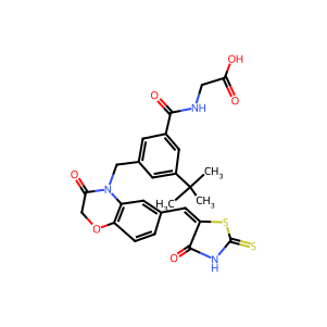 CC(C)(C)c1cc(CN2C(=O)COc3ccc(/C=C4/SC(=S)NC4=O)cc32)cc(C(=O)NCC(=O)O)c1